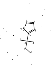 CCC(C)(C)c1cccs1